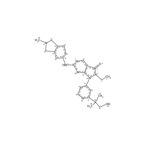 CCn1c(=O)c2cnc(Nc3ccc4c(c3)CN(C)C4)nc2n1-c1ccnc(C(C)(C)CO)c1